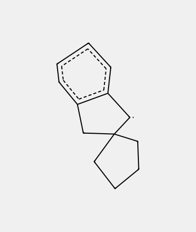 [CH]1c2ccccc2CC12CCCC2